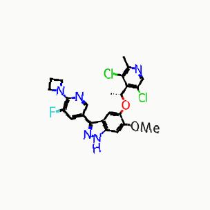 COc1cc2[nH]nc(-c3cnc(N4CCC4)c(F)c3)c2cc1O[C@H](C)c1c(Cl)cnc(C)c1Cl